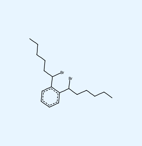 CCCCCC(Br)c1ccccc1C(Br)CCCCC